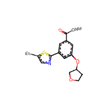 CCc1cnc(-c2cc(OC3CCOC3)cc(C(=O)OC)c2)s1